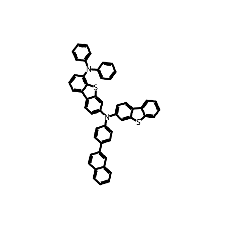 c1ccc(N(c2ccccc2)c2cccc3c2sc2cc(N(c4ccc(-c5ccc6ccccc6c5)cc4)c4ccc5c(c4)sc4ccccc45)ccc23)cc1